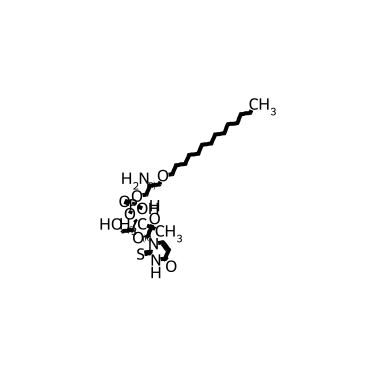 CCCCCCCCCCCCCCOC[C@@H](N)COP(=O)(O)OC[C@H](CO)O[C@@H](n1ccc(=O)[nH]c1=S)C(C)(C)O